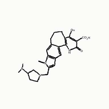 CN(C)C1CCN(Cc2cc3cc4c(cc3n2C)CCCc2c-4[nH]c(=O)c(C(=O)O)c2O)C1